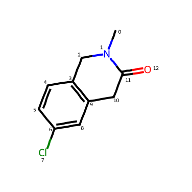 CN1Cc2ccc(Cl)cc2CC1=O